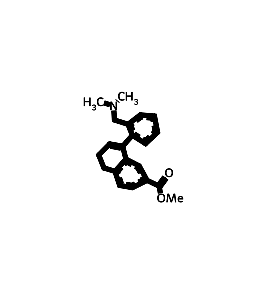 COC(=O)c1ccc2c(c1)C(c1ccccc1CN(C)C)=CCC2